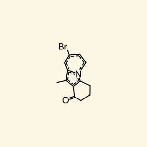 Cc1c2c(n3ccc(Br)cc13)CCCC2=O